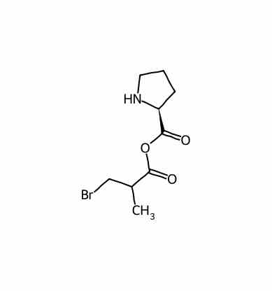 CC(CBr)C(=O)OC(=O)[C@@H]1CCCN1